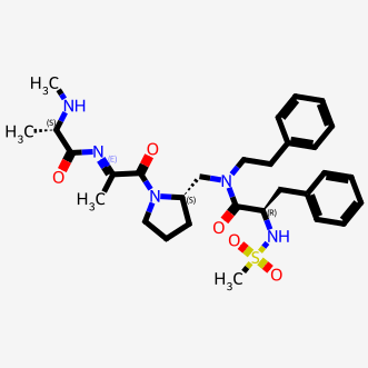 CN[C@@H](C)C(=O)/N=C(\C)C(=O)N1CCC[C@H]1CN(CCc1ccccc1)C(=O)[C@@H](Cc1ccccc1)NS(C)(=O)=O